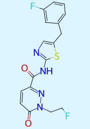 O=C(Nc1ncc(Cc2cccc(F)c2)s1)c1ccc(=O)n(CCF)n1